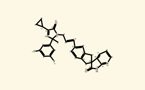 CC1(c2cc(F)cc(F)c2)N=C(C2CC2)C(=O)N1C/C=C/c1ccc2c(c1)CC1(C2)C(=O)Nc2ncccc21